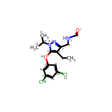 CCc1c(CNC=O)nn(C(C)C)c1Oc1cc(Cl)cc(Cl)c1